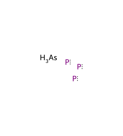 [AsH3].[P].[P].[P]